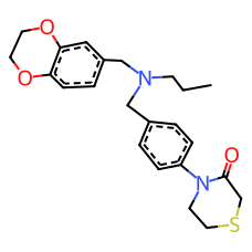 CCCN(Cc1ccc(N2CCSCC2=O)cc1)Cc1ccc2c(c1)OCCO2